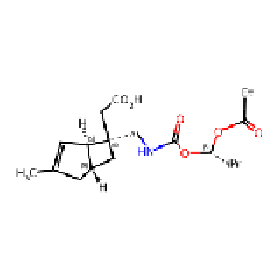 CCC(=O)O[C@@H](OC(=O)NC[C@]1(CC(=O)O)C[C@@H]2CC(C)=C[C@H]21)C(C)C